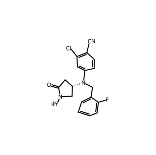 CC(C)N1C[C@@H](N(Cc2ccccc2F)c2ccc(C#N)c(Cl)c2)CC1=O